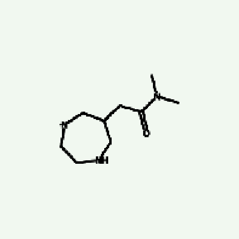 CN(C)C(=O)CC1C[N]CCNC1